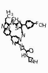 CCc1nc2ccc(-c3cnc(N4CC(C(=O)NC5CNC5)C4)nc3)cn2c1N(C)c1nc(-c2ccc(F)cc2)c(C#N)s1.Cl